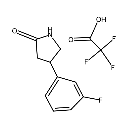 O=C(O)C(F)(F)F.O=C1CC(c2cccc(F)c2)CN1